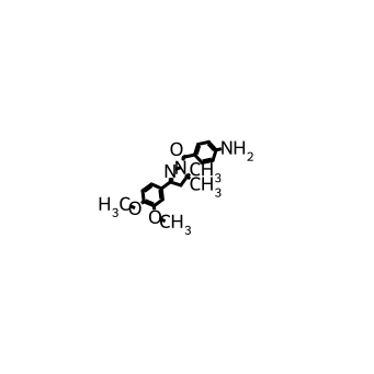 COc1ccc(C2=NN(C(=O)c3ccc(N)cc3)C(C)(C)C2)cc1OC